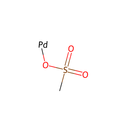 CS(=O)(=O)[O][Pd]